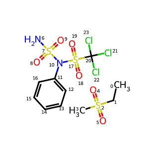 CCS(C)(=O)=O.NS(=O)(=O)N(c1ccccc1)S(=O)(=O)C(Cl)(Cl)Cl